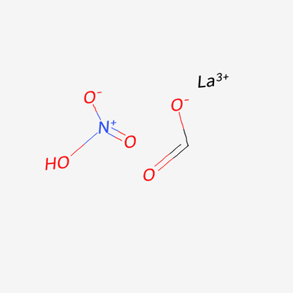 O=C[O-].O=[N+]([O-])O.[La+3]